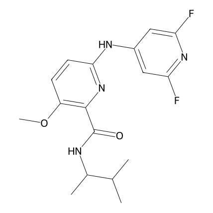 COc1ccc(Nc2cc(F)nc(F)c2)nc1C(=O)NC(C)C(C)C